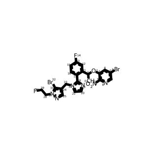 CC(Oc1cc(Br)cnc1[N+](=O)[O-])c1cc(F)ccc1-c1nccn1Cc1cnn(CCF)c1Br